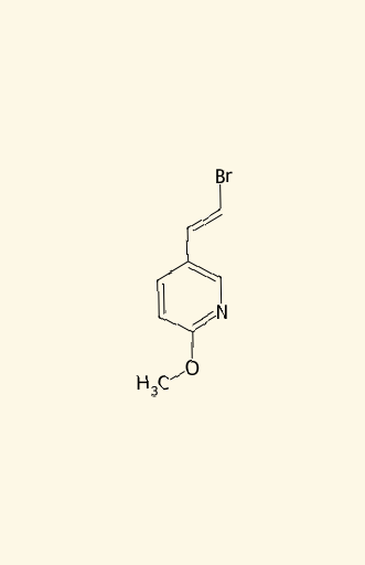 COc1ccc(/C=C/Br)cn1